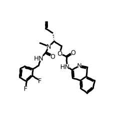 C=CC[C@H](COC(=O)Nc1cc2ccccc2cn1)N(C)C(=O)NCc1cccc(F)c1F